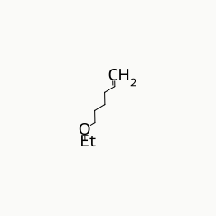 C=CCCCCOCC